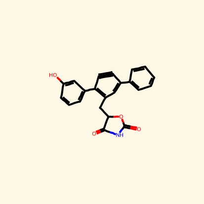 O=C1NC(=O)C(Cc2cc(-c3ccccc3)c#cc2-c2cccc(O)c2)O1